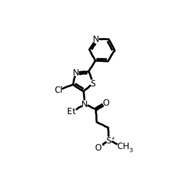 CCN(C(=O)CC[S+](C)[O-])c1sc(-c2cccnc2)nc1Cl